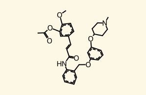 COc1ccc(C=CC(=O)Nc2ccccc2COc2cccc(OC3CCN(C)CC3)c2)cc1OC(C)=O